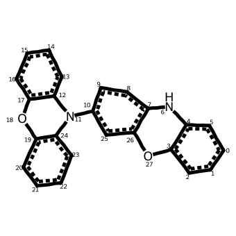 c1ccc2c(c1)Nc1ccc(N3c4ccccc4Oc4ccccc43)cc1O2